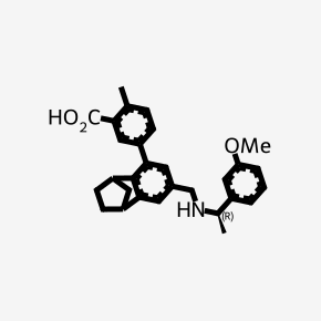 COc1cccc([C@@H](C)NCc2cc(-c3ccc(C)c(C(=O)O)c3)c3c(c2)C2CCC3C2)c1